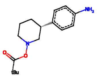 CC(C)(C)C(=O)ON1CCC[C@H](c2ccc(N)cc2)C1